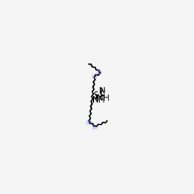 CCCCC/C=C\C/C=C\CCCCCCCCC(CCCCCCCC/C=C\C/C=C\CCCCC)NC(=S)NC(C)CN(C)C